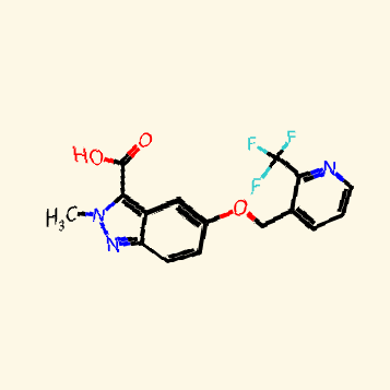 Cn1nc2ccc(OCc3cccnc3C(F)(F)F)cc2c1C(=O)O